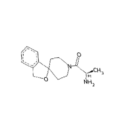 C[C@@H](N)C(=O)N1CCC2(CC1)OCc1ccccc12